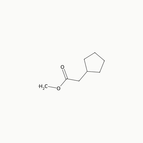 [CH2]OC(=O)CC1CCCC1